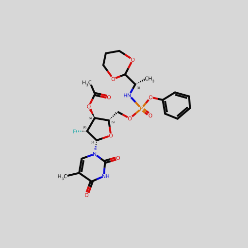 CC(=O)O[C@@H]1[C@@H](F)[C@@H](n2cc(C)c(=O)[nH]c2=O)O[C@H]1COP(=O)(N[C@@H](C)C1OCCCO1)Oc1ccccc1